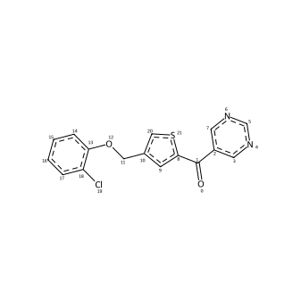 O=C(c1cncnc1)c1cc(COc2ccccc2Cl)cs1